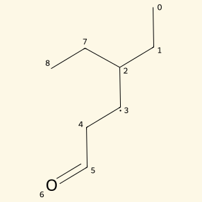 CCC([CH]CC=O)CC